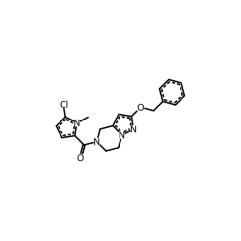 Cn1c(Cl)ccc1C(=O)N1CCn2nc(OCc3ccccc3)cc2C1